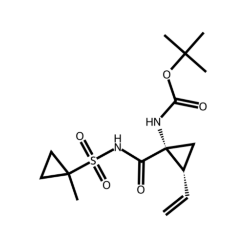 C=C[C@H]1C[C@]1(NC(=O)OC(C)(C)C)C(=O)NS(=O)(=O)C1(C)CC1